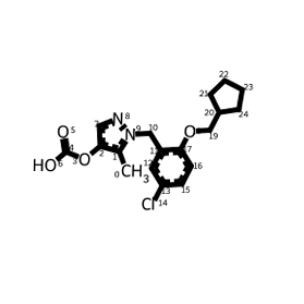 Cc1c(OC(=O)O)cnn1Cc1cc(Cl)ccc1OCC1CCCC1